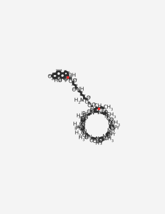 CC=CC[C@@H](C)C(OC(=O)OCOC(=O)[C@H](N)CCCCNC(=O)CCC(=O)OCC(=O)[C@@]1(O)CCC2C3CCC4=CC(=O)C=C[C@]4(C)C3[C@@H](O)C[C@@]21C)C1C(=O)NC(CC)C(=O)N(C)CC(=O)N(C)[C@@H](CC(C)C)C(=O)NC(C(C)C)C(=O)N(C)C(CC(C)C)C(=O)NC(C)C(=O)NC(C)C(=O)N(C)C(CC(C)C)C(=O)N(C)C(CC(C)C)C(=O)N(C)C(C(C)C)C(=O)N1C